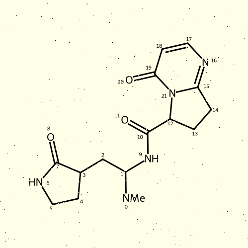 CNC(CC1CCNC1=O)NC(=O)C1CCc2nccc(=O)n21